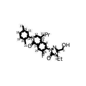 CCn1c(CO)nn(-c2cc3c(C(C)C)cn(-c4cc(C)ccc4C)c(=O)c3cc2F)c1=O